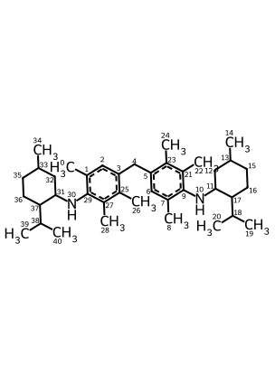 Cc1cc(Cc2cc(C)c(NC3CC(C)CCC3C(C)C)c(C)c2C)c(C)c(C)c1NC1CC(C)CCC1C(C)C